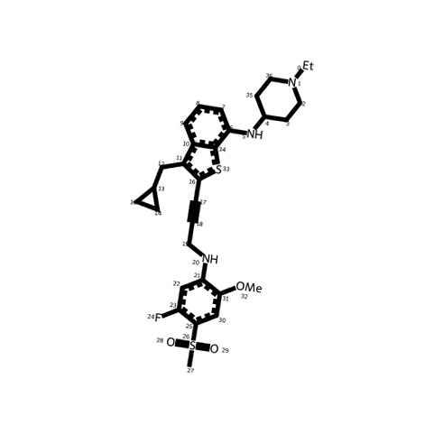 CCN1CCC(Nc2cccc3c(CC4CC4)c(C#CCNc4cc(F)c(S(C)(=O)=O)cc4OC)sc23)CC1